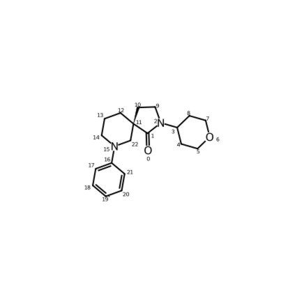 O=C1N(C2CCOCC2)CC[C@@]12CCCN(c1cc[c]cc1)C2